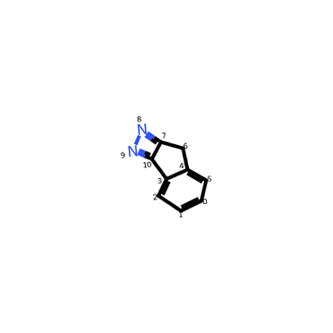 c1ccc2c(c1)CC1=NN=C12